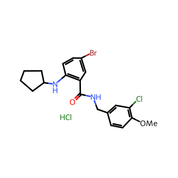 COc1ccc(CNC(=O)c2cc(Br)ccc2NC2CCCC2)cc1Cl.Cl